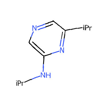 CC(C)Nc1cncc(C(C)C)n1